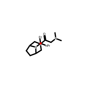 CCCC(CC)N1C2CCC1CN(C(=O)CN(C)C)C2